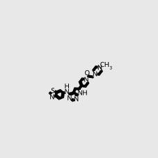 CN1CCN(CC(=O)N2CC=C(C3Cc4c(Nc5ccc6ncsc6c5)ncnc4N3)CC2)CC1